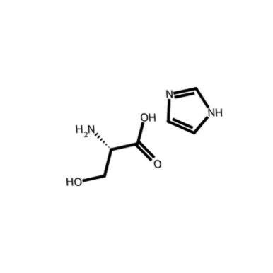 N[C@@H](CO)C(=O)O.c1c[nH]cn1